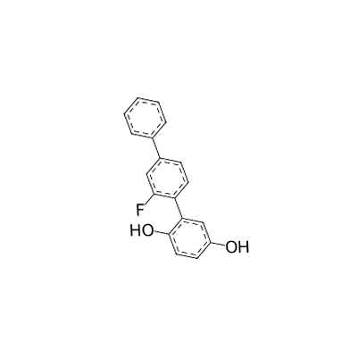 Oc1ccc(O)c(-c2ccc(-c3ccccc3)cc2F)c1